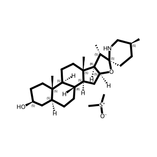 C[C@H]1CC[C@]2(NC1)O[C@H]1C[C@H]3[C@@H]4CC[C@H]5C[C@@H](O)CC[C@]5(C)[C@H]4CC[C@]3(C)[C@H]1[C@@H]2C.C[S+](C)[O-]